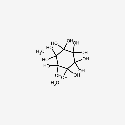 O.O.OC1(O)C(O)(O)C(O)(O)C(O)(O)C(O)(O)C1(O)O